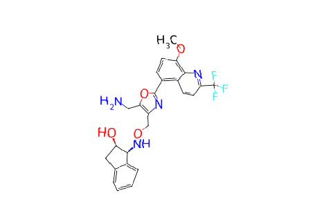 COc1ccc(-c2nc(CON[C@H]3c4ccccc4C[C@H]3O)c(CN)o2)c2ccc(C(F)(F)F)nc12